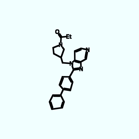 CCC(=O)N1CCC(Cn2c(-c3ccc(-c4ccccc4)cc3)nc3cnccc32)C1